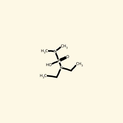 CCN(CC)P(=O)(O)N(C)C